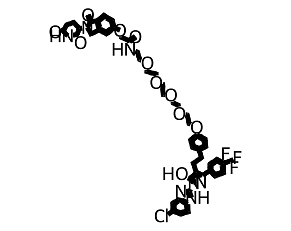 O=C(COc1ccc2c(c1)CN(C1CCC(=O)NC1=O)C2=O)NCCOCCOCCOCCOCCOc1ccc(CCc2c(-c3ccc(C(F)(F)F)cc3)nn(-c3nc4cc(Cl)ccc4[nH]3)c2O)cc1